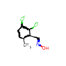 ON=Cc1c(C(F)(F)F)ccc(Cl)c1Cl